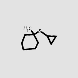 CC1(SC2CC2)CCCCC1